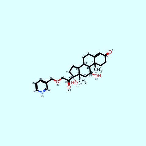 CC12CCC(=O)C=C1CCC1C2[C@@H](O)CC2(C)C1CC[C@]2(O)C(=O)COCc1cccnc1